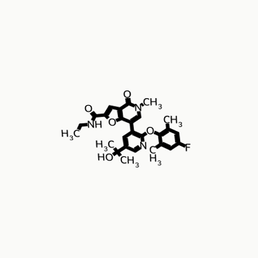 CCNC(=O)c1cc2c(=O)n(C)cc(-c3cc(C(C)(C)O)cnc3Oc3c(C)cc(F)cc3C)c2o1